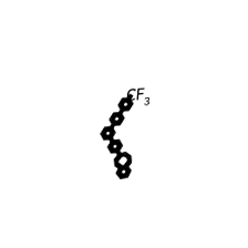 FC(F)(F)c1ccc(-c2ccc(-c3cccc(-c4ccc(/C5=C/C=c6/cccc/c6=C/CC5)cc4)c3)cc2)cc1